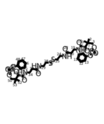 CC1(C)COP(=O)(Oc2ccccc2)O[C@H]1C(=O)NCCC(=O)NCCSSCCNC(=O)CCNC(=O)[C@@H]1OP(=O)(Oc2ccccc2)OCC1(C)C